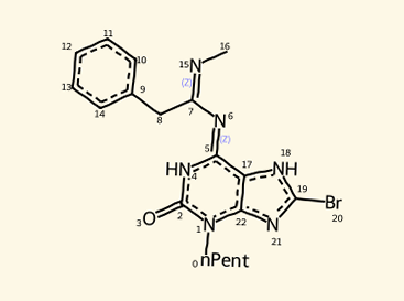 CCCCCn1c(=O)[nH]/c(=N\C(Cc2ccccc2)=N/C)c2[nH]c(Br)nc21